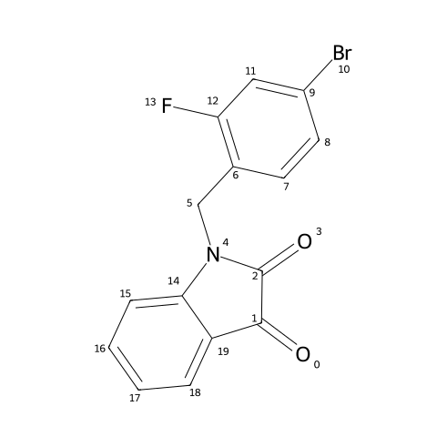 O=C1C(=O)N(Cc2ccc(Br)cc2F)c2ccccc21